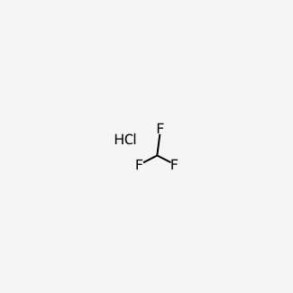 Cl.FC(F)F